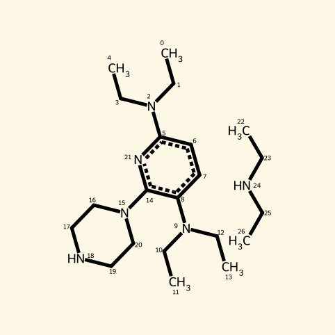 CCN(CC)c1ccc(N(CC)CC)c(N2CCNCC2)n1.CCNCC